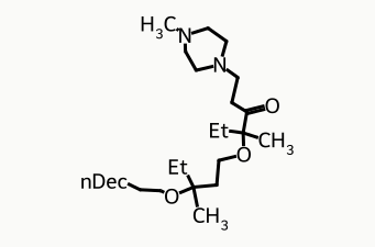 CCCCCCCCCCCCOC(C)(CC)CCOC(C)(CC)C(=O)CCN1CCN(C)CC1